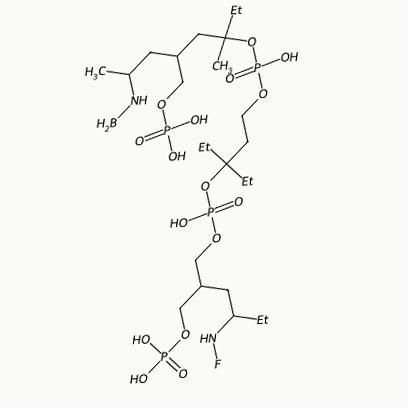 BNC(C)CC(COP(=O)(O)O)CC(C)(CC)OP(=O)(O)OCCC(CC)(CC)OP(=O)(O)OCC(COP(=O)(O)O)CC(CC)NF